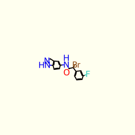 O=C(Nc1ccc2[nH]ncc2c1)C(Br)c1cccc(F)c1